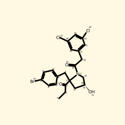 CCC(=O)C1(Cc2ccc(Br)cc2)C[C@@H](O)CN1C(=O)Cc1cc(Cl)cc(Cl)c1